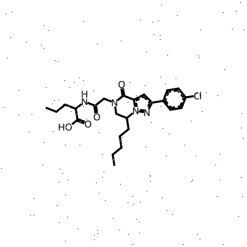 CCCCCC1CN(CC(=O)NC(CCC)C(=O)O)C(=O)c2cc(-c3ccc(Cl)cc3)nn21